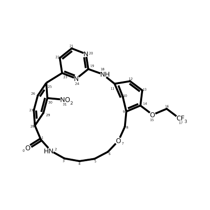 O=C1NCCCCOCc2cc(ccc2OCC(F)(F)F)Nc2nccc(n2)-c2ccc1cc2[N+](=O)[O-]